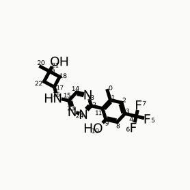 Cc1cc(C(F)(F)F)cc(O)c1-c1ncc(NC2CC(C)(O)C2)nn1